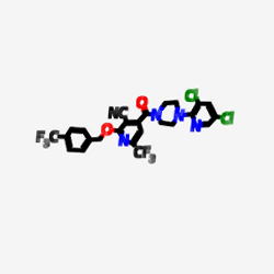 N#Cc1c(C(=O)N2CCN(c3ncc(Cl)cc3Cl)CC2)cc(C(F)(F)F)nc1OCc1ccc(C(F)(F)F)cc1